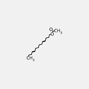 CCCC=CCCCCC=CCCCOC(C)=O